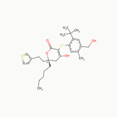 CCCCC[C@]1(CCc2ccsc2)CC(O)=C(Sc2cc(C)c(CO)cc2C(C)(C)C)C(=O)O1